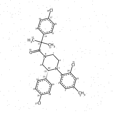 Cc1ccc(N2CCN(C(=O)C(C)(C)c3ccc(Cl)cc3)C[C@H]2c2ccc(Cl)cc2)c(Cl)c1